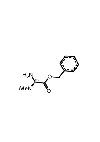 CN[C@@H](N)C(=O)OCc1ccccc1